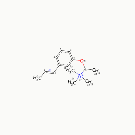 [CH2]/C=C/c1cccc(OC(C)[N+](C)(C)C)c1